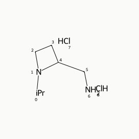 CC(C)N1CCC1CN.Cl.Cl